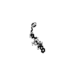 O=C(O)CC1(C(=O)NCc2nc(-c3cnn(CCCN4CCOCC4)c3)cs2)Cc2ccccc2C1